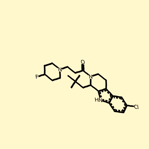 CC(C)(C)CC1c2[nH]c3ccc(Cl)cc3c2CCN1C(=O)CCN1CCC(F)CC1